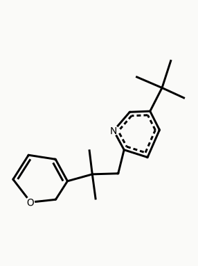 CC(C)(Cc1ccc(C(C)(C)C)cn1)C1=CC=COC1